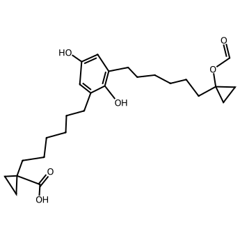 O=COC1(CCCCCCc2cc(O)cc(CCCCCCC3(C(=O)O)CC3)c2O)CC1